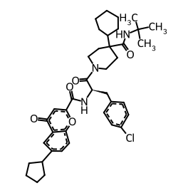 CC(C)(C)NC(=O)C1(C2CCCCC2)CCN(C(=O)[C@@H](Cc2ccc(Cl)cc2)NC(=O)c2cc(=O)c3cc(C4CCCC4)ccc3o2)CC1